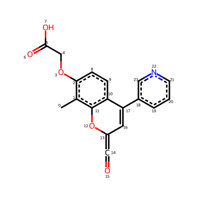 Cc1c(OCC(=O)O)ccc2c1OC(=C=O)C=C2c1cccnc1